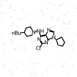 CCCCC1CCN(Nc2nc(Cl)nc3c2ncn3C2CCCC2)CC1